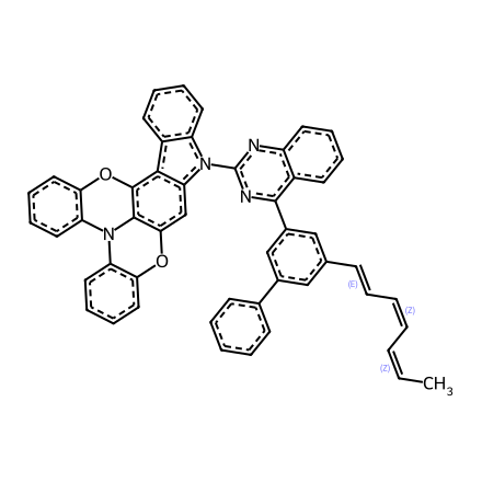 C\C=C/C=C\C=C\c1cc(-c2ccccc2)cc(-c2nc(-n3c4ccccc4c4c5c6c(cc43)Oc3ccccc3N6c3ccccc3O5)nc3ccccc23)c1